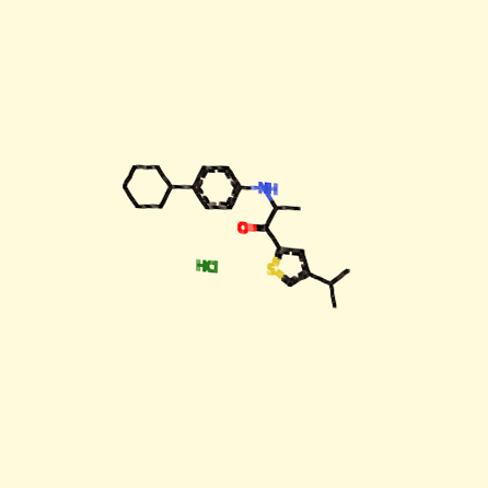 CC(Nc1ccc(C2CCCCC2)cc1)C(=O)c1cc(C(C)C)cs1.Cl